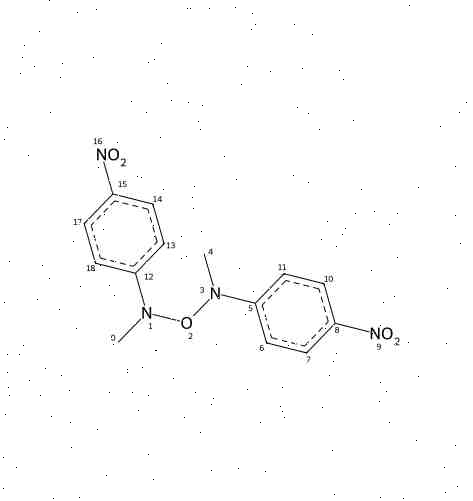 CN(ON(C)c1ccc([N+](=O)[O-])cc1)c1ccc([N+](=O)[O-])cc1